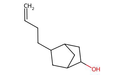 C=CCCC1CC2CC1CC2O